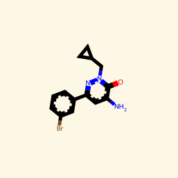 Nc1cc(-c2cccc(Br)c2)nn(CC2CC2)c1=O